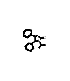 CC(C)N1C(=O)SC(c2ccccc2)C1c1ccccc1